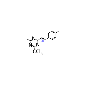 Cc1ccc(/C=C/c2nc(C)nc(C(Cl)(Cl)Cl)n2)cc1